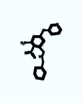 Cc1cc(Oc2cccnc2)cc(CNCc2ccccc2)c1[SH](=O)=O